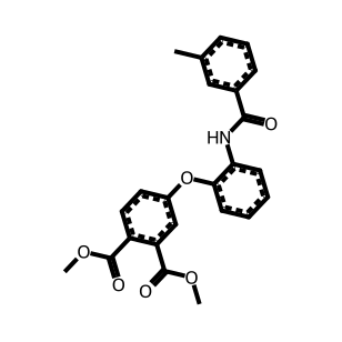 COC(=O)c1ccc(Oc2ccccc2NC(=O)c2cccc(C)c2)cc1C(=O)OC